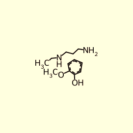 CCNCCCN.COc1ccccc1O